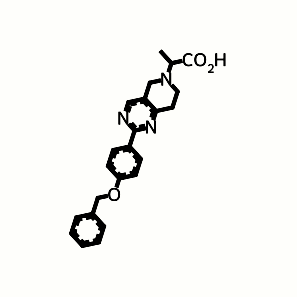 CC(C(=O)O)N1CCc2nc(-c3ccc(OCc4ccccc4)cc3)ncc2C1